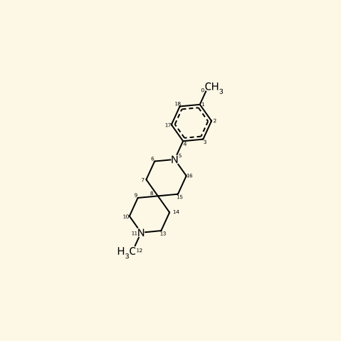 Cc1ccc(N2CCC3(CCN(C)CC3)CC2)cc1